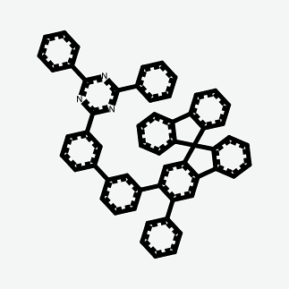 c1ccc(-c2nc(-c3ccccc3)nc(-c3cccc(-c4cccc(-c5cc6c(cc5-c5ccccc5)-c5ccccc5C65c6ccccc6-c6ccccc65)c4)c3)n2)cc1